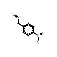 O=NCc1ccc([N+](=O)[O-])cc1